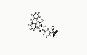 CCN(CC)C(=O)[C@@H]1CCCN(C2CCN(C(=O)c3c4ccccc4cc4ccccc34)C2)C1